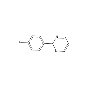 Fc1ccc(C2[N]C=CC=N2)cc1